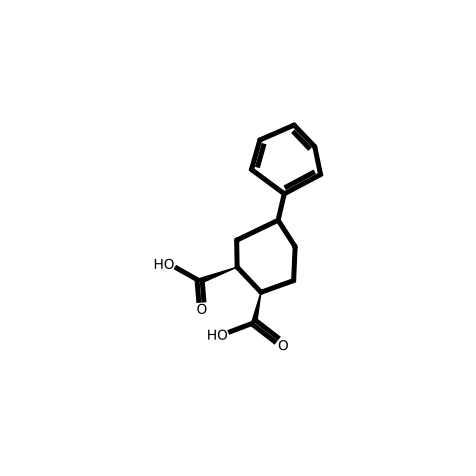 O=C(O)[C@H]1CC(c2ccccc2)CC[C@H]1C(=O)O